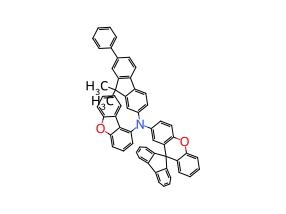 CC1(C)c2cc(-c3ccccc3)ccc2-c2ccc(N(c3ccc4c(c3)C3(c5ccccc5O4)c4ccccc4-c4ccccc43)c3cccc4oc5ccccc5c34)cc21